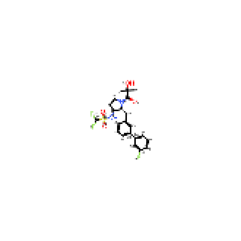 CC(C)(O)C(=O)N1CC[C@H](NS(=O)(=O)C(F)F)[C@@H]1Cc1cccc(-c2cccc(F)c2)c1